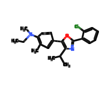 CCN(C)c1ccc(-c2oc(-c3ccccc3Cl)nc2C(C)C)cc1C